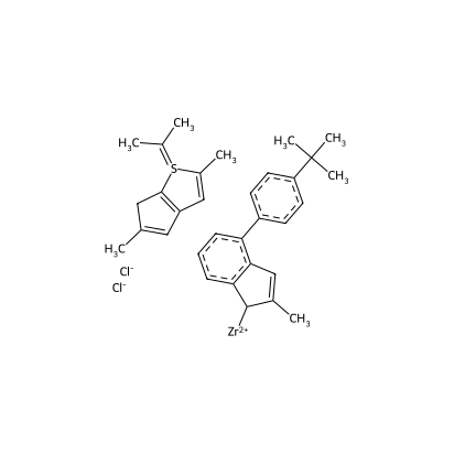 CC1=CC2=C(C1)S(=C(C)C)C(C)=C2.CC1=Cc2c(-c3ccc(C(C)(C)C)cc3)cccc2[CH]1[Zr+2].[Cl-].[Cl-]